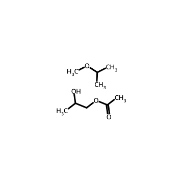 CC(=O)OCC(C)O.COC(C)C